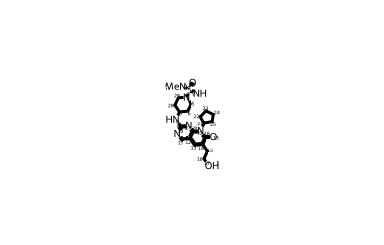 CNS(=N)(=O)N1CCC(Nc2ncc3cc(CCO)c(=O)n(C4CCCC4)c3n2)CC1